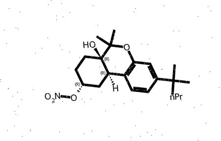 CCCC(C)(C)c1ccc2c(c1)OC(C)(C)[C@@]1(O)CC[C@@H](O[N+](=O)[O-])C[C@H]21